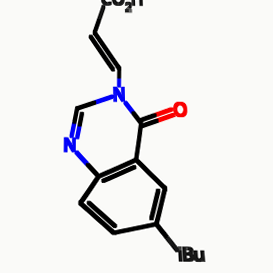 CCC(C)c1ccc2ncn(C=CC(=O)O)c(=O)c2c1